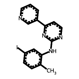 Cc1ccc(I)cc1Nc1nccc(-c2cccnc2)n1